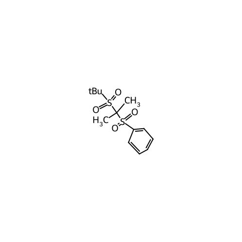 CC(C)(C)S(=O)(=O)C(C)(C)S(=O)(=O)c1ccccc1